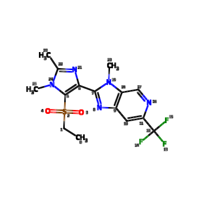 CCS(=O)(=O)c1c(-c2nc3cc(C(F)(F)F)ncc3n2C)nc(C)n1C